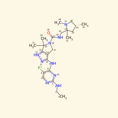 CCNc1ncc(F)c(Nc2n[nH]c3c2CN(C(=O)NCC2(C)C[C@@H](C)CN2C)C3(C)C)n1